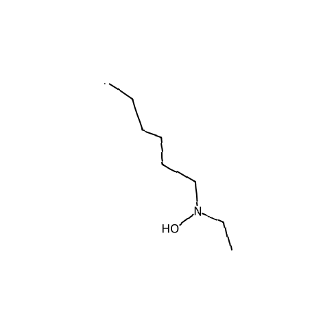 [CH2]CCCCCN(O)CC